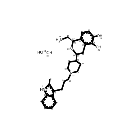 Cc1[nH]c2ccccc2c1CCCN1CCC([C@@H]2Cc3c(ccc(O)c3O)[C@H](CN)O2)CC1.Cl.Cl